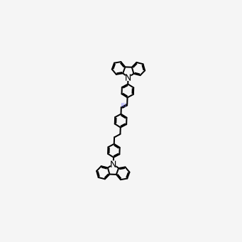 C(=C\c1ccc(-n2c3ccccc3c3ccccc32)cc1)/c1ccc(CCc2ccc(-n3c4ccccc4c4ccccc43)cc2)cc1